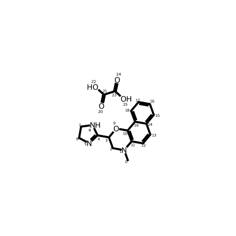 CN1CC(C2=NCCN2)Oc2c1ccc1ccccc21.O=C(O)C(=O)O